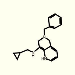 C1=CNC2=C(NCC3CC3)CN(Cc3ccccc3)CC2=C1